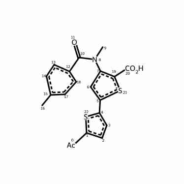 CC(=O)c1ccc(-c2cc(N(C)C(=O)c3ccc(C)cc3)c(C(=O)O)s2)s1